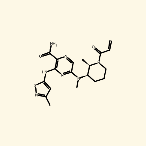 C=CC(=O)N1CCC[C@@H](N(C)c2cnc(C(N)=O)c(Nc3cc(C)ns3)n2)[C@H]1C